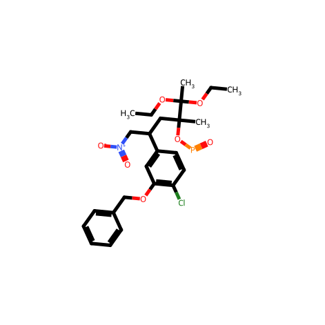 CCOC(C)(OCC)C(C)(CC(C[N+](=O)[O-])c1ccc(Cl)c(OCc2ccccc2)c1)OP=O